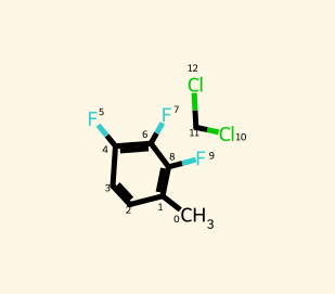 Cc1ccc(F)c(F)c1F.ClCCl